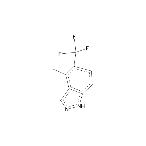 Cc1c(C(F)(F)F)ccc2[nH]ncc12